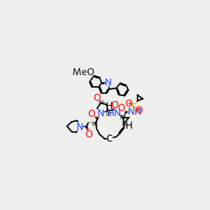 COc1ccc2c(O[C@@H]3C[C@H]4C(=O)N[C@]5(C(=O)NS(=O)(=O)C6CC6)C[C@H]5C=CCCCCC[C@H](CC(=O)N5CCCCC5)C(=O)N4C3)cc(-c3ccccc3)nc2c1